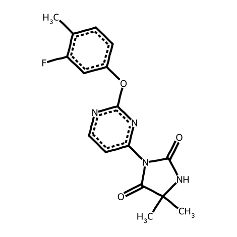 Cc1ccc(Oc2nccc(N3C(=O)NC(C)(C)C3=O)n2)cc1F